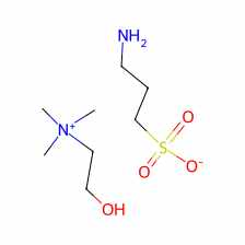 C[N+](C)(C)CCO.NCCCS(=O)(=O)[O-]